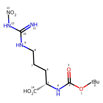 CC(C)(C)OC(=O)N[C@@H](CCCNC(=N)N[N+](=O)[O-])C(=O)O